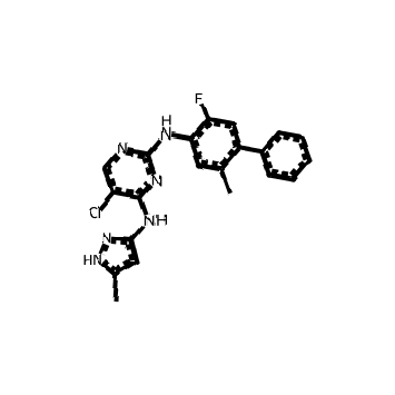 Cc1cc(Nc2nc(Nc3cc(C)c(-c4ccccc4)cc3F)ncc2Cl)n[nH]1